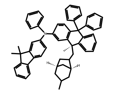 CC1C[C@H]2CC(C[C@]3(C)c4ccccc4C(c4ccccc4)(c4ccccc4)c4ccc(N(c5ccccc5)c5ccc6c(c5)C(C)(C)c5ccccc5-6)cc43)[C@@H](C1)C2